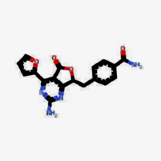 NC(=O)c1ccc(CC2OC(=O)c3c(-c4ccco4)nc(N)nc32)cc1